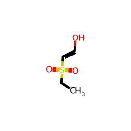 CCS(=O)(=O)C=CO